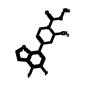 CC1CC(c2cc(F)c(F)c3ccoc23)=CCN1C(=O)OC(C)(C)C